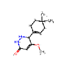 COC1=CC(=O)NNC1C1=CCC(C)(C)CC1